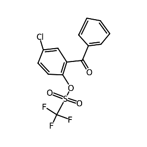 O=C(c1ccccc1)c1cc(Cl)ccc1OS(=O)(=O)C(F)(F)F